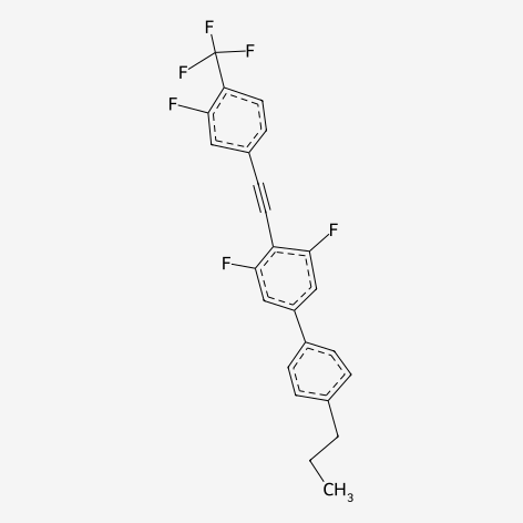 CCCc1ccc(-c2cc(F)c(C#Cc3ccc(C(F)(F)F)c(F)c3)c(F)c2)cc1